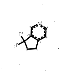 FC1(F)CCc2ccncc21